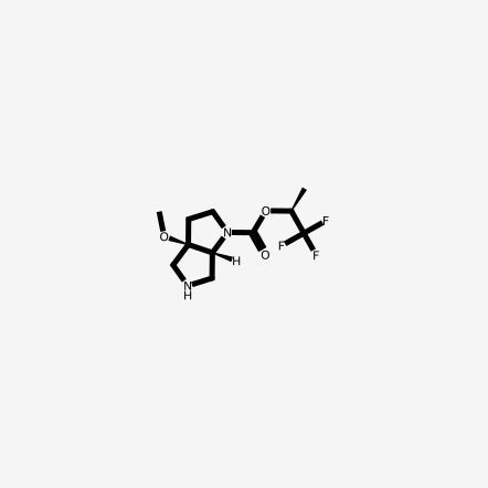 CO[C@@]12CCN(C(=O)O[C@@H](C)C(F)(F)F)[C@@H]1CNC2